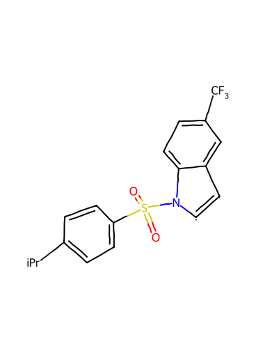 CC(C)c1ccc(S(=O)(=O)n2[c]cc3cc(C(F)(F)F)ccc32)cc1